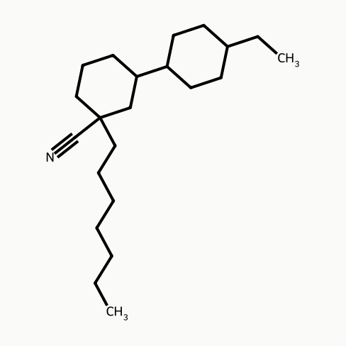 CCCCCCCC1(C#N)CCCC(C2CCC(CC)CC2)C1